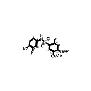 CCc1ccc(NS(=O)(=O)c2cc(OC)c(OC)cc2C)cc1F